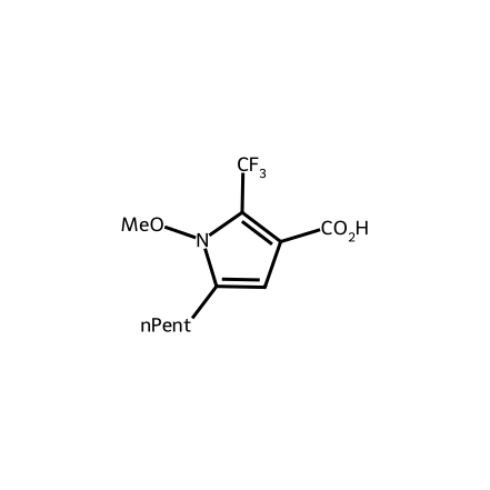 CCCCCc1cc(C(=O)O)c(C(F)(F)F)n1OC